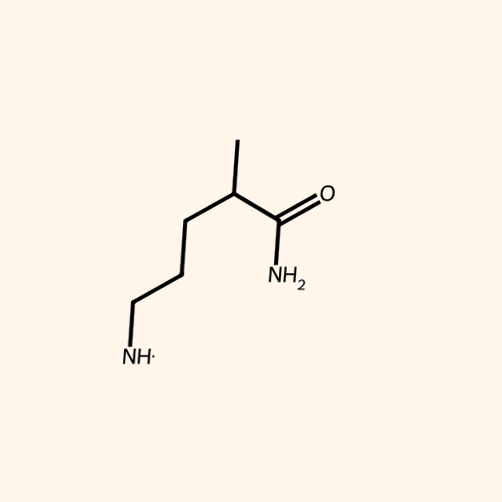 CC(CCC[NH])C(N)=O